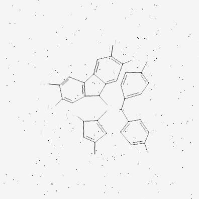 CCCCC1C=C(C(C)(C)C)C=[C]1[Zr+2](=[C](c1ccc(C)cc1)c1ccc(C)cc1)[CH]1c2cc(C(C)(C)C)c(C(C)(C)C)cc2-c2cc(C(C)(C)C)c(C(C)(C)C)cc21.[Cl-].[Cl-]